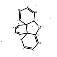 C1=CCC23C=CC=CC24C=CC=CC4OC3=C1